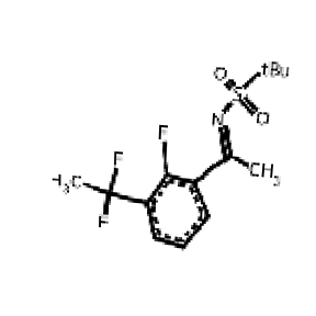 CC(=NS(=O)(=O)C(C)(C)C)c1cccc(C(C)(F)F)c1F